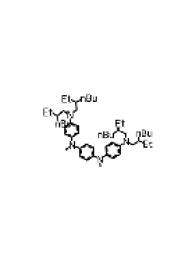 CCCCC(CC)CN(CC(CC)CCCC)c1ccc(N(C)c2ccc(N(C)c3ccc(N(CC(CC)CCCC)CC(CC)CCCC)cc3)cc2)cc1